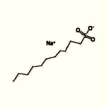 CCCCCCCCCCCS(=O)(=O)[O-].[Na+]